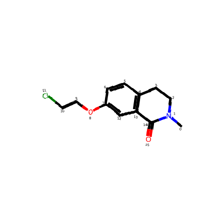 CN1CCc2ccc(OCCCl)cc2C1=O